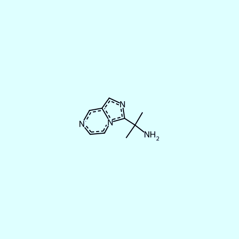 CC(C)(N)c1ncc2cnccn12